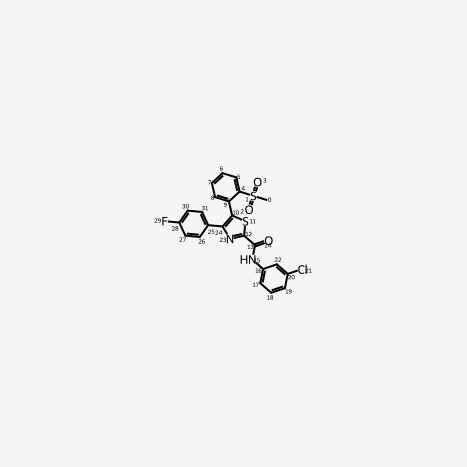 CS(=O)(=O)c1ccccc1-c1sc(C(=O)Nc2cccc(Cl)c2)nc1-c1ccc(F)cc1